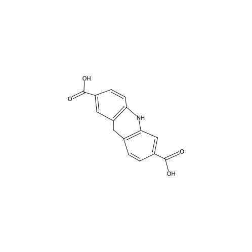 O=C(O)c1ccc2c(c1)Cc1ccc(C(=O)O)cc1N2